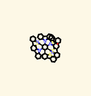 N#Cc1c(-c2cccc3c2sc2ccccc23)c(-n2c3ccccc3c3ccc4c5ccccc5sc4c32)c(C#N)c(-n2c3ccccc3c3ccc4c5ccccc5sc4c32)c1-n1c2ccccc2c2ccc3c4ccccc4sc3c21